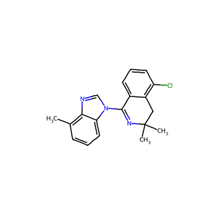 Cc1cccc2c1ncn2C1=NC(C)(C)Cc2c(Cl)cccc21